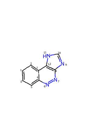 c1ccc2c(c1)nnc1nc[nH]c12